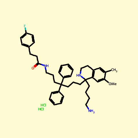 COc1cc2c(cc1C)CCNC2(CCCCN)CCCC(CCCNC(=O)CCc1ccc(F)cc1)(c1ccccc1)c1ccccc1.Cl.Cl